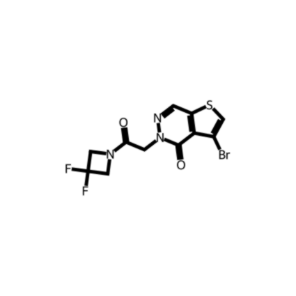 O=C(Cn1ncc2scc(Br)c2c1=O)N1CC(F)(F)C1